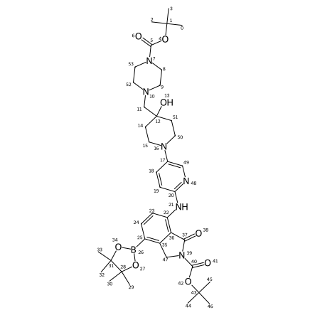 CC(C)(C)OC(=O)N1CCN(CC2(O)CCN(c3ccc(Nc4ccc(B5OC(C)(C)C(C)(C)O5)c5c4C(=O)N(C(=O)OC(C)(C)C)C5)nc3)CC2)CC1